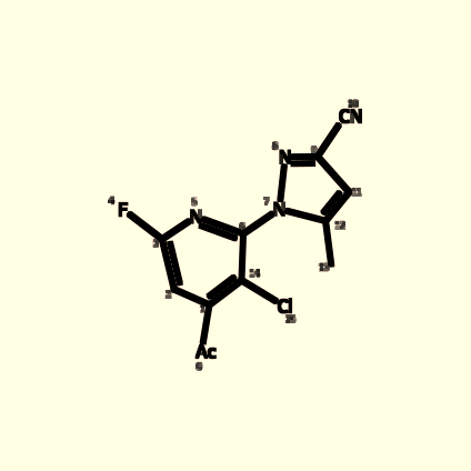 CC(=O)c1cc(F)nc(-n2nc(C#N)cc2C)c1Cl